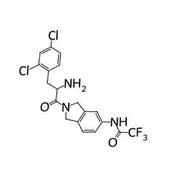 NC(Cc1ccc(Cl)cc1Cl)C(=O)N1Cc2ccc(NC(=O)C(F)(F)F)cc2C1